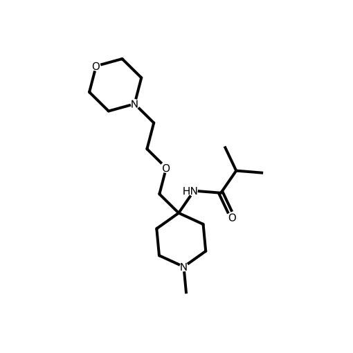 CC(C)C(=O)NC1(COCCN2CCOCC2)CCN(C)CC1